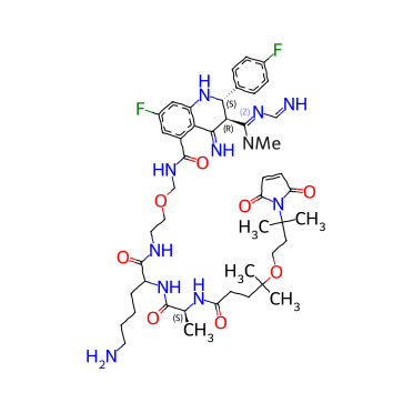 CN/C(=N\C=N)[C@H]1C(=N)c2c(cc(F)cc2C(=O)NCOCCNC(=O)C(CCCCN)NC(=O)[C@H](C)NC(=O)CCC(C)(C)OCCC(C)(C)N2C(=O)C=CC2=O)N[C@@H]1c1ccc(F)cc1